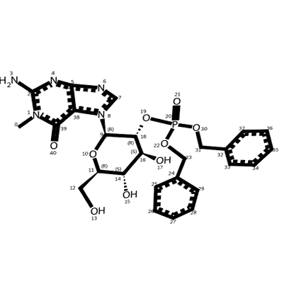 Cn1c(N)nc2ncn([C@@H]3O[C@H](CO)[C@@H](O)[C@H](O)[C@H]3OP(=O)(OCc3ccccc3)OCc3ccccc3)c2c1=O